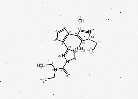 CCN(CC)C(=O)n1cnc(-c2sccc2-c2c(C)nn(CC)c2C)n1